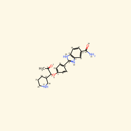 CC(=O)C(Oc1ccc(-c2nc3cc(C(N)=O)ccc3[nH]2)cc1)C1CCCNC1